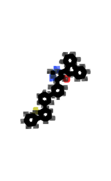 c1cc(-c2cccc(-c3cccc4c3sc3ccccc34)c2)cc(-c2ncnc3c2oc2c4ccccc4c4ccccc4c32)c1